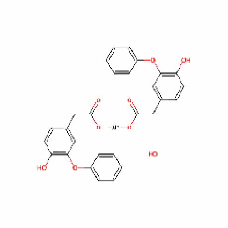 O=C(Cc1ccc(O)c(Oc2ccccc2)c1)[O][Al+][O]C(=O)Cc1ccc(O)c(Oc2ccccc2)c1.[OH-]